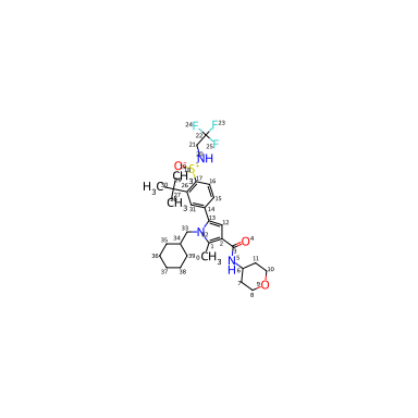 Cc1c(C(=O)NC2CCOCC2)cc(-c2ccc([S+]([O-])NCC(F)(F)F)c(C(C)(C)C)c2)n1CC1CCCCC1